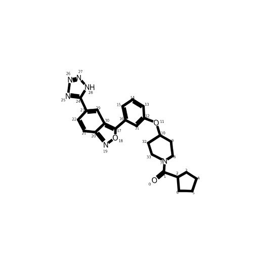 O=C(C1CCCC1)N1CCC(Oc2cccc(-c3onc4ccc(-c5nnn[nH]5)cc34)c2)CC1